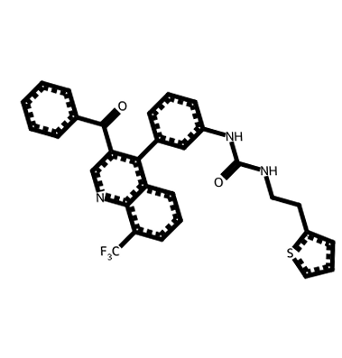 O=C(NCCc1cccs1)Nc1cccc(-c2c(C(=O)c3ccccc3)cnc3c(C(F)(F)F)cccc23)c1